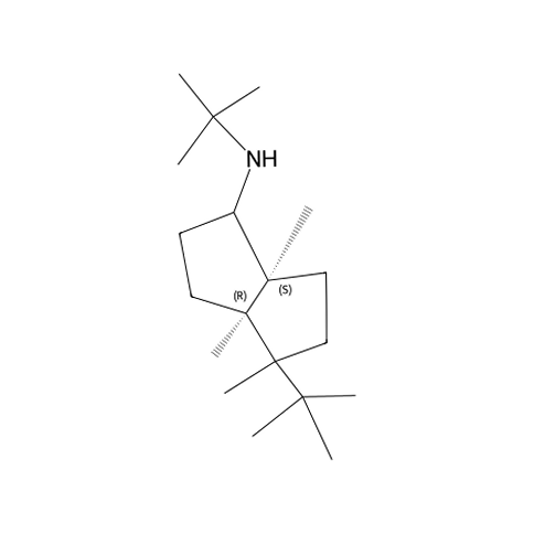 CC(C)(C)NC1CC[C@]2(C)C(C)(C(C)(C)C)CC[C@]12C